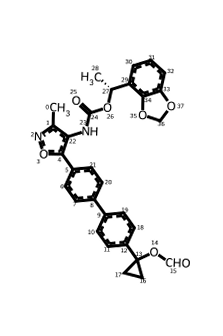 Cc1noc(-c2ccc(-c3ccc(C4(OC=O)CC4)cc3)cc2)c1NC(=O)O[C@H](C)c1cccc2c1OCO2